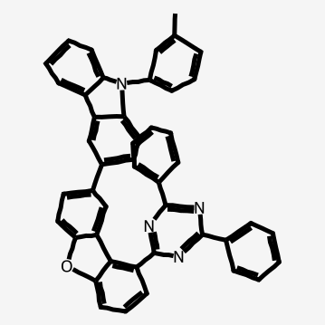 Cc1cccc(-n2c3ccccc3c3cc(-c4ccc5oc6cccc(-c7nc(-c8ccccc8)nc(-c8ccccc8)n7)c6c5c4)ccc32)c1